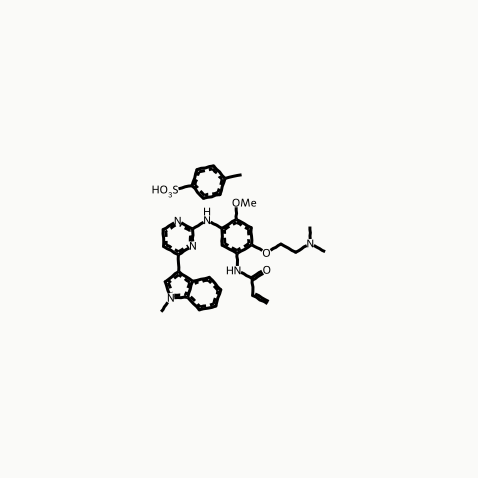 C=CC(=O)Nc1cc(Nc2nccc(-c3cn(C)c4ccccc34)n2)c(OC)cc1OCCN(C)C.Cc1ccc(S(=O)(=O)O)cc1